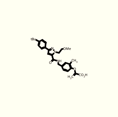 C=C(Oc1ccc(CNC(=O)c2cc(-c3ccc(C(C)(C)C)cc3)nn2CCOC)cc1C)C(=O)O